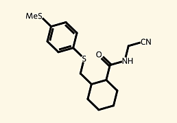 CSc1ccc(SCC2CCCCC2C(=O)NCC#N)cc1